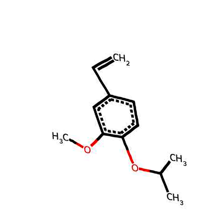 C=Cc1ccc(OC(C)C)c(OC)c1